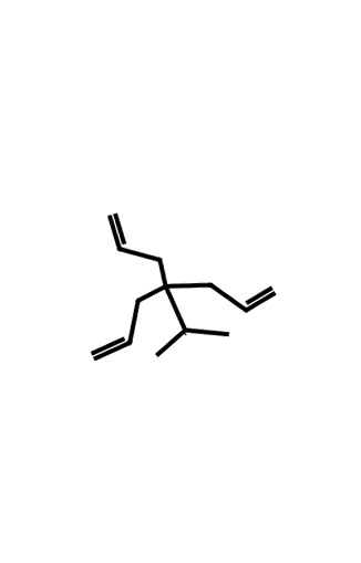 C=CCC(CC=C)(CC=C)[C](C)C